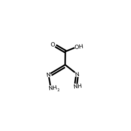 N=NC(=NN)C(=O)O